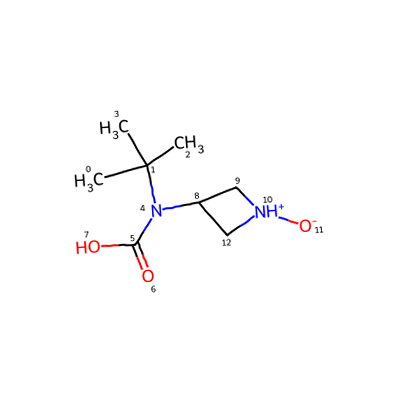 CC(C)(C)N(C(=O)O)C1C[NH+]([O-])C1